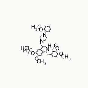 COc1ccc(Cc2ncc(CN3CCN(c4ccccc4OC)CC3)c3cc(OC)c(OC)cc23)cc1OC.Cl